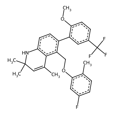 COc1ccc(C(F)(F)F)cc1-c1ccc2c(c1COc1cc(F)ccc1C)C(C)=CC(C)(C)N2